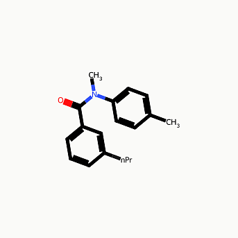 CCCc1cccc(C(=O)N(C)c2ccc(C)cc2)c1